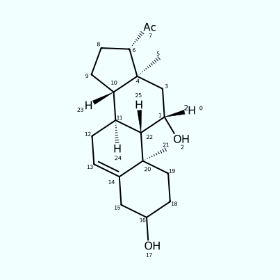 [2H][C@]1(O)C[C@]2(C)[C@@H](C(C)=O)CC[C@H]2[C@@H]2CC=C3CC(O)CC[C@]3(C)[C@H]21